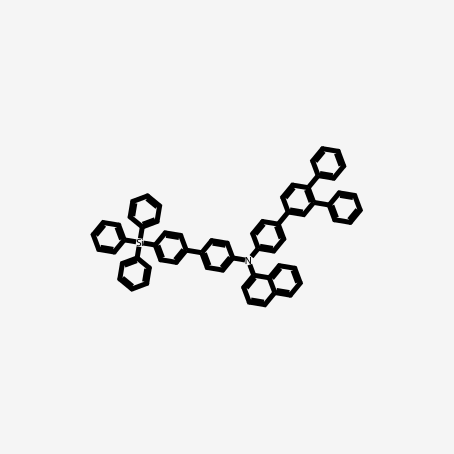 c1ccc(-c2ccc(-c3ccc(N(c4ccc(-c5ccc([Si](c6ccccc6)(c6ccccc6)c6ccccc6)cc5)cc4)c4cccc5ccccc45)cc3)cc2-c2ccccc2)cc1